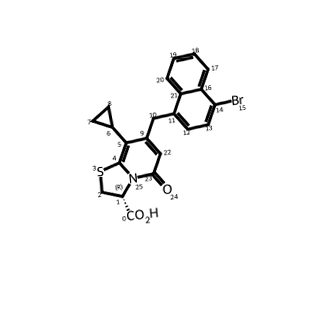 O=C(O)[C@@H]1CSc2c(C3CC3)c(Cc3ccc(Br)c4ccccc34)cc(=O)n21